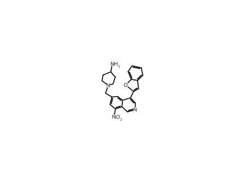 NC1CCN(Cc2cc([N+](=O)[O-])c3cncc(-c4cc5ccccc5o4)c3c2)CC1